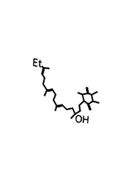 C=C1C(C)C(C)C(=C)C(CCC(C)(O)CC/C=C(\C)CC/C=C(\C)CC/C=C(\C)CC)C1C